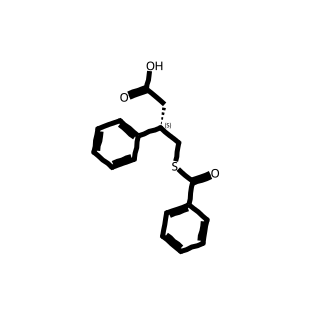 O=C(O)C[C@H](CSC(=O)c1ccccc1)c1ccccc1